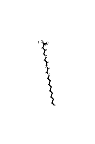 CCCCCCCCCCOCCOCCOCCCC(=O)O